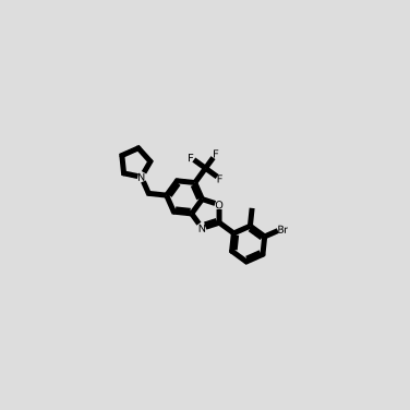 Cc1c(Br)cccc1-c1nc2cc(CN3CCCC3)cc(C(F)(F)F)c2o1